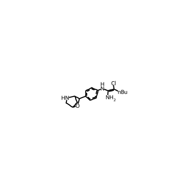 CCCC/C(Cl)=C(\N)Nc1ccc(C2OC3CNC2C3)cc1